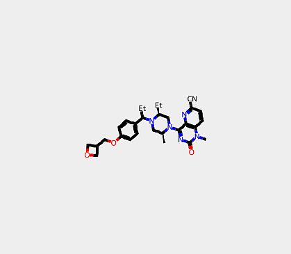 CCC(c1ccc(OCC2COC2)cc1)N1C[C@H](C)N(c2nc(=O)n(C)c3ccc(C#N)nc23)C[C@@H]1CC